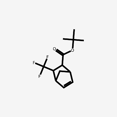 CC(C)(C)OC(=O)C1C2C=CC(C2)C1C(F)(F)F